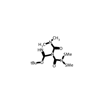 CSN(SC)C(=O)N(C(=N)OC(C)(C)C)C(=O)N(C)C